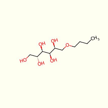 CCCCOC[C@H](O)[C@@H](O)[C@H](O)[C@H](O)CO